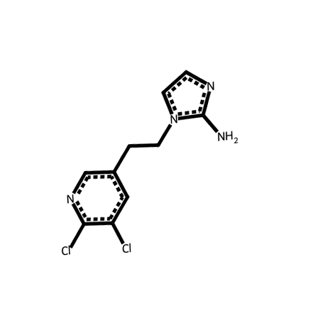 Nc1nccn1CCc1cnc(Cl)c(Cl)c1